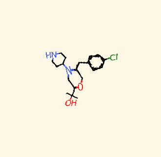 CC(C)(O)C1CN(C2CCNCC2)C(Cc2ccc(Cl)cc2)CO1